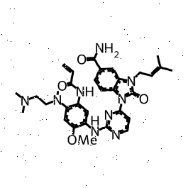 C=CC(=O)Nc1cc(Nc2nccc(-n3c(=O)n(CC=C(C)C)c4cc(C(N)=O)ccc43)n2)c(OC)cc1N(C)CCN(C)C